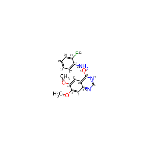 COc1cc2ncnc([O])c2cc1OC.Nc1ccccc1F